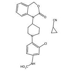 N#CC1CC1.O=C(O)Nc1ccc(N2CCC(N3C(=O)OCc4ccccc43)CC2)c(Cl)c1